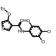 CCOc1cscc1C(=O)Nc1cc(Cl)c(Cl)cc1O